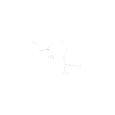 CC(C)[C@@H](C=O)NC(=O)CBr